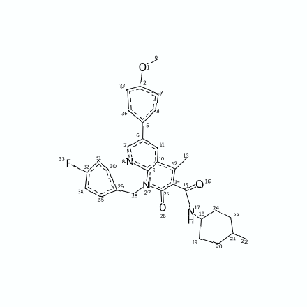 COc1ccc(-c2cnc3c(c2)c(C)c(C(=O)NC2CCC(C)CC2)c(=O)n3Cc2ccc(F)cc2)cc1